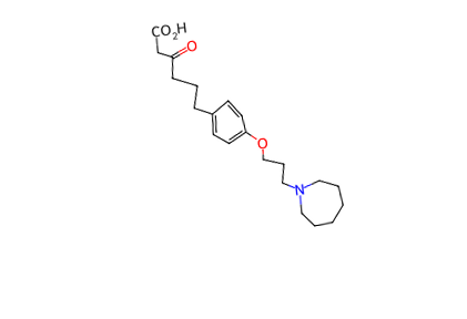 O=C(O)CC(=O)CCCc1ccc(OCCCN2CCCCCC2)cc1